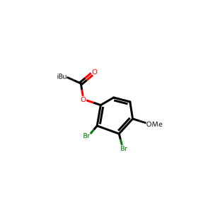 CCC(C)C(=O)Oc1ccc(OC)c(Br)c1Br